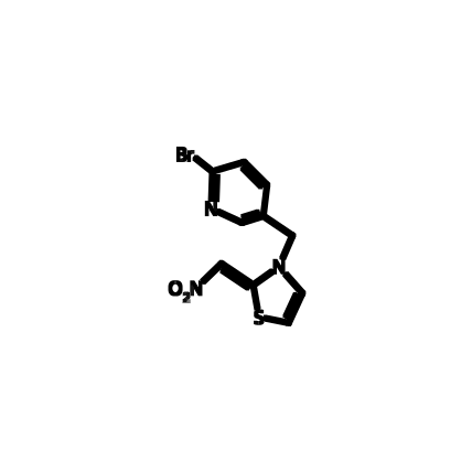 O=[N+]([O-])C=C1SC=CN1Cc1ccc(Br)nc1